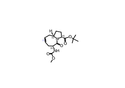 COC(=O)N[C@H]1C/C=C\C[C@@H]2CC[C@@H](C(=O)OC(C)(C)C)N2C1=O